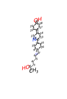 CC(O)CCC/C=C/c1ccc(-c2ccc(-c3ccc(O)cc3)cn2)cc1